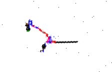 Cc1ncsc1-c1ccc(CNC(=O)[C@@H]2C[C@@H](OC(=O)CCCCCCCCCCCCCCCCC(=O)[O-])CN2C(=O)[C@@H](NC(=O)COCCOCCOCCNC(=O)C[C@@H]2N=C(c3ccc(Cl)cc3)c3c(sc(C)c3C)-n3c(C)nnc32)C(C)(C)C)cc1.[Na+]